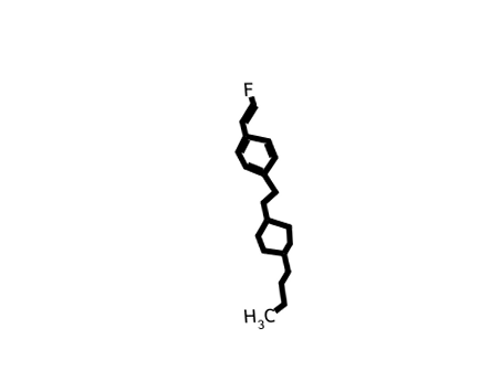 CCCCC1CCC(CCc2ccc(C=CF)cc2)CC1